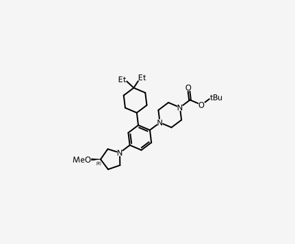 CCC1(CC)CCC(c2cc(N3CC[C@@H](OC)C3)ccc2N2CCN(C(=O)OC(C)(C)C)CC2)CC1